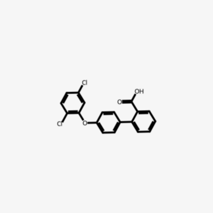 O=C(O)c1ccccc1-c1ccc(Oc2cc(Cl)ccc2Cl)cc1